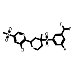 CC1(S(=O)(=O)c2cc(F)cc(C(F)F)c2)CCOC(c2ncc(S(C)(=O)=O)cc2Cl)C1